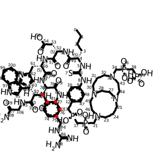 CCCC[C@H](NC(=S)Nc1ccc(CP(=O)(O)CP(=O)(O)CN2CCCN3CCN(CCCN(CP(=O)(O)CP(=O)(O)O)CC3)CC2)cc1)C(=O)N[C@@H](CC(=O)O)C(=O)N[C@@H](Cc1c[nH]cn1)C(=O)N[C@H](Cc1ccccc1)C(=O)N[C@@H](CCCNC(=N)N)C(=O)N[C@@H](Cc1c[nH]c2ccccc12)C(=O)NCC(N)=O